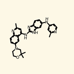 Cc1cc(Nc2ccc3nc(Nc4cc(C)nc5ccc(N6CCOC(C)(C)C6)cc45)[nH]c3c2)ccn1